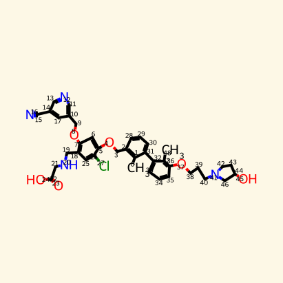 Cc1c(COc2cc(OCc3cncc(C#N)c3)c(CNCC(=O)O)cc2Cl)cccc1-c1cccc(OCCCN2CCC(O)C2)c1C